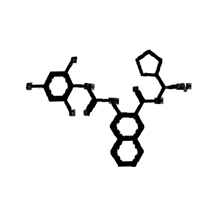 O=C(Nc1cc2ccccc2cc1C(=O)N[C@H](C(=O)O)C1CCCC1)Nc1c(Cl)cc(Cl)cc1Cl